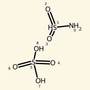 N[SH](=O)=O.O=S(=O)(O)O